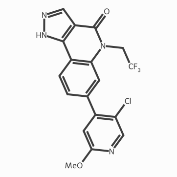 COc1cc(-c2ccc3c4[nH]ncc4c(=O)n(CC(F)(F)F)c3c2)c(Cl)cn1